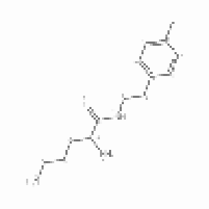 Cc1ccc(CCNC(=O)C(N)CCCN)cc1